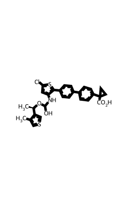 Cc1cscc1[C@@H](C)OC(O)Nc1cc(Cl)sc1-c1ccc(-c2ccc(C3(C(=O)O)CC3)cc2)cc1